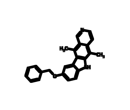 Cc1c2ccncc2c(C)c2c1[nH]c1ccc(OCc3ccccc3)cc12